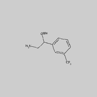 COC(CN)c1cccc(C(F)(F)F)c1